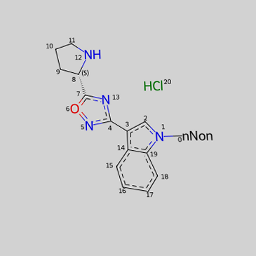 CCCCCCCCCn1cc(-c2noc([C@@H]3CCCN3)n2)c2ccccc21.Cl